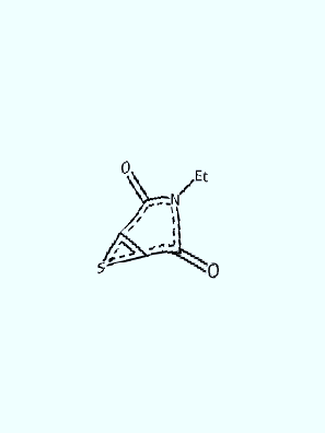 CCn1c(=O)c2sc=2c1=O